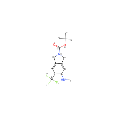 CNc1cc2c(cc1C(F)(F)F)CN(C(=O)OC(C)(C)C)C2